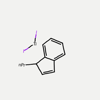 CCC[C]1C=Cc2ccccc21.[I][Ti][I]